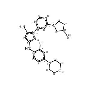 Nc1nc(Nc2ccc(N3CCOCC3)cc2F)nn1-c1cc(N2CCC(O)C2)ncn1